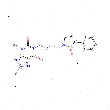 CCCCn1c(=O)n(CCCCN2CCC(c3ccccc3)C2=O)c(=O)c2[nH]c(Cl)nc21